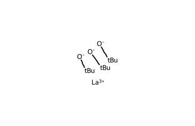 CC(C)(C)[O-].CC(C)(C)[O-].CC(C)(C)[O-].[La+3]